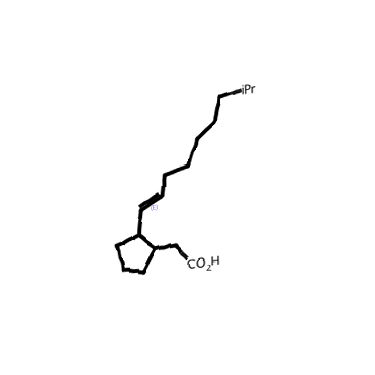 CC(C)CCCCC/C=C/C1CCCC1CC(=O)O